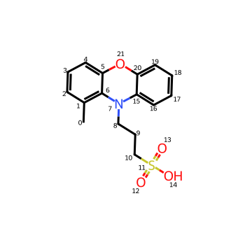 Cc1cccc2c1N(CCCS(=O)(=O)O)c1ccccc1O2